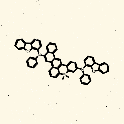 C[Si]1(C)c2cc(N(c3ccccc3)c3cccc4c3oc3ccccc34)ccc2-c2cc3c4ccccc4c(N(c4ccccc4)c4cccc5c4oc4ccccc45)cc3c3cccc1c23